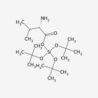 CC(C)[C@H](N)C(=O)O[Si](OC(C)(C)C)(OC(C)(C)C)OC(C)(C)C